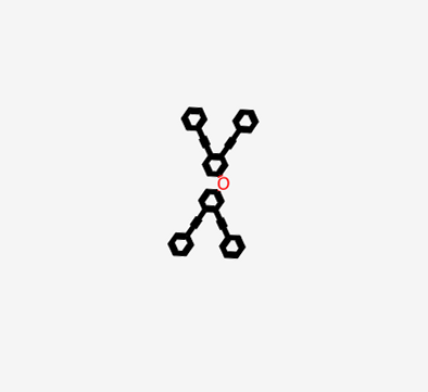 C(#Cc1ccc(Oc2ccc(C#Cc3ccccc3)c(C#Cc3ccccc3)c2)cc1C#Cc1ccccc1)c1ccccc1